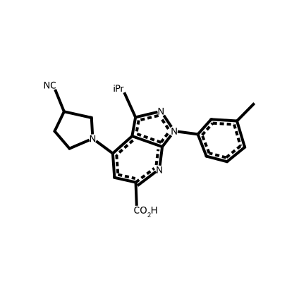 Cc1cccc(-n2nc(C(C)C)c3c(N4CCC(C#N)C4)cc(C(=O)O)nc32)c1